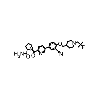 CC(C)(F)CN1CCC(COc2ccc(-c3ccc(C(=O)N4CCC[C@H]4C(N)=O)nc3)cc2C#N)CC1